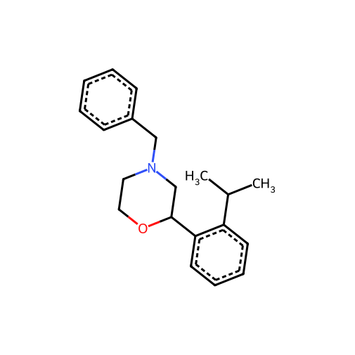 CC(C)c1ccccc1C1CN(Cc2ccccc2)CCO1